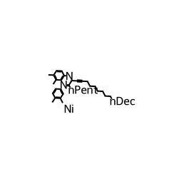 CCCCCCCCCCCCCCCCCC#CC(=Nc1ccc(C)c(C)c1)C(CCCCC)=Nc1ccc(C)c(C)c1.[Ni]